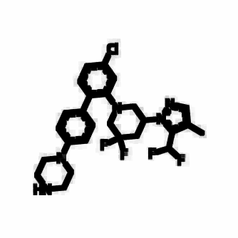 Cc1cnn(C2CN(c3cc(Cl)ccc3-c3ccc(N4CCNCC4)cc3)CC(F)(F)C2)c1C(F)F